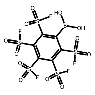 O=S(=O)(F)c1c(B(O)O)c(S(=O)(=O)F)c(S(=O)(=O)F)c(S(=O)(=O)F)c1S(=O)(=O)F